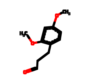 COc1ccc(CCC=O)c(OC)c1